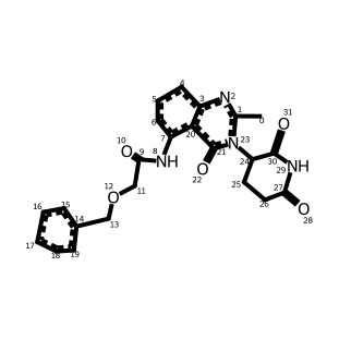 Cc1nc2cccc(NC(=O)COCc3ccccc3)c2c(=O)n1C1CCC(=O)NC1=O